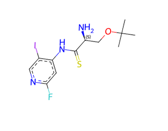 CC(C)(C)OC[C@H](N)C(=S)Nc1cc(F)ncc1I